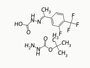 CC(=NNC(=O)O)c1ccc(C(F)(F)F)c(F)c1.CC(C)(C)OC(=O)NN